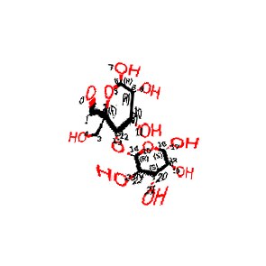 O=C[C@]1(CO)O[C@@H](O)[C@H](O)[C@H](O)[C@@H]1O[C@@H]1O[C@H](O)[C@@H](O)[C@H](O)[C@H]1O